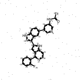 CCC(=O)Nc1cncc(-c2ccc3[nH]nc(-c4cc5c(-c6ccccc6F)nccc5[nH]4)c3c2)c1